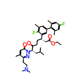 CCOC(=O)C[C@H](CCC(=O)[C@H](CC(C)C)n1nc(CCN(C)C)c(C)cc1=O)c1cc(-c2c(C)cc(F)cc2C)cc(C)c1F